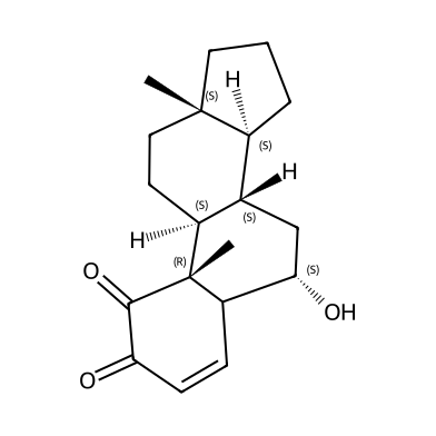 C[C@@]12CCC[C@H]1[C@@H]1C[C@H](O)C3C=CC(=O)C(=O)[C@]3(C)[C@H]1CC2